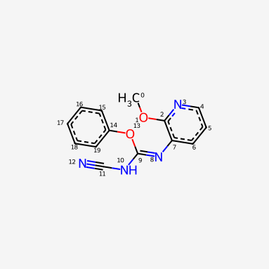 COc1ncccc1/N=C(/NC#N)Oc1ccccc1